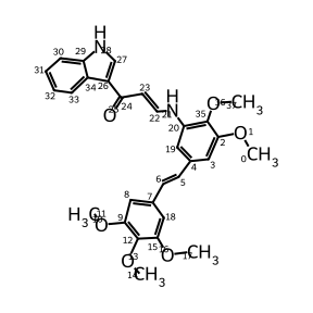 COc1cc(C=Cc2cc(OC)c(OC)c(OC)c2)cc(NC=CC(=O)c2c[nH]c3ccccc23)c1OC